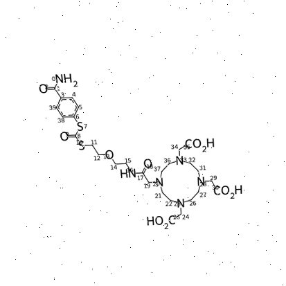 NC(=O)c1ccc(SC(=O)SCCOCCNC(=O)CN2CCN(CC(=O)O)CCN(CC(=O)O)CCN(CC(=O)O)CC2)cc1